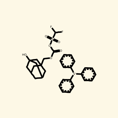 O=C(OCC12CC3CC(CC(O)(C3)C1)C2)OS(=O)(=O)C(F)F.c1ccc([S+](c2ccccc2)c2ccccc2)cc1